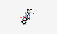 O=C(O)C1=CN=C(n2ncc(-c3ccccc3)c2O)CC1